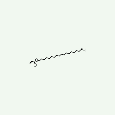 [2H]CCCCCCCCCCCCCCCCCCOC(=O)C=C